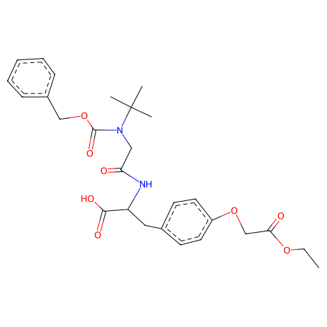 CCOC(=O)COc1ccc(CC(NC(=O)CN(C(=O)OCc2ccccc2)C(C)(C)C)C(=O)O)cc1